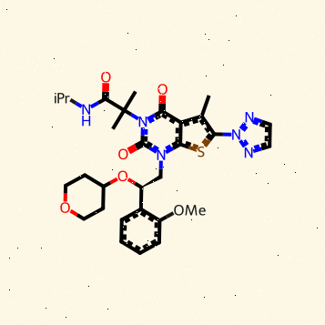 COc1ccccc1[C@H](Cn1c(=O)n(C(C)(C)C(=O)NC(C)C)c(=O)c2c(C)c(-n3nccn3)sc21)OC1CCOCC1